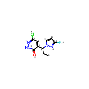 CC[C@@H](c1cc(Cl)n[nH]c1=O)n1ccc(F)n1